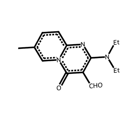 CCN(CC)c1nc2ccc(C)cn2c(=O)c1C=O